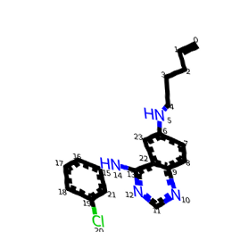 C=CCCCNc1ccc2ncnc(Nc3cccc(Cl)c3)c2c1